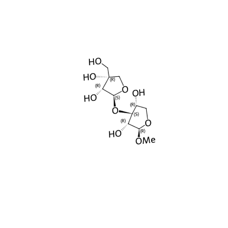 CO[C@@H]1OC[C@@H](O)[C@H](O[C@@H]2OC[C@](O)(CO)[C@H]2O)[C@H]1O